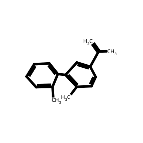 C=C(C)c1ccc(C)c(-c2ccccc2C)c1